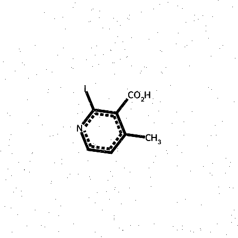 Cc1ccnc(I)c1C(=O)O